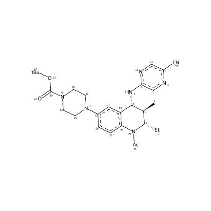 CC[C@H]1[C@H](C)[C@@H](Nc2cnc(C#N)cn2)c2cc(N3CCN(C(=O)OC(C)(C)C)CC3)ccc2N1C(C)=O